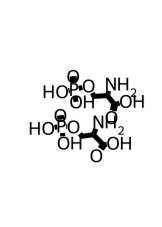 NC(COP(=O)(O)O)C(=O)O.NC(COP(=O)(O)O)C(=O)O